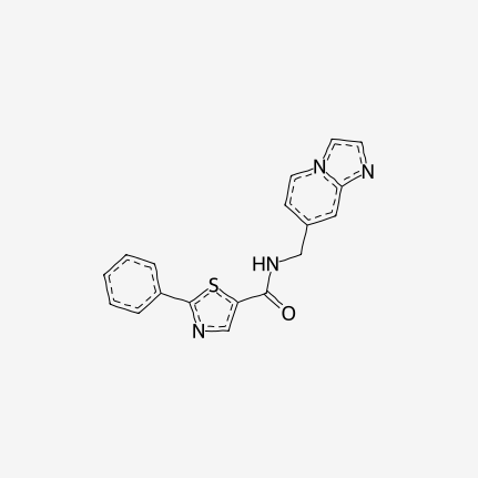 O=C(NCc1ccn2ccnc2c1)c1cnc(-c2ccccc2)s1